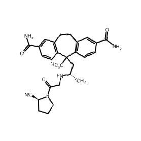 C[C@@H](CC1(C(=O)O)c2ccc(C(N)=O)cc2CCc2cc(C(N)=O)ccc21)NCC(=O)N1CCC[C@H]1C#N